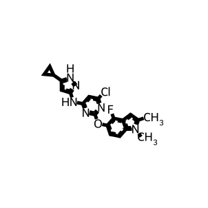 Cc1cc2c(F)c(Oc3nc(Cl)cc(Nc4cc(C5CC5)[nH]n4)n3)ccc2n1C